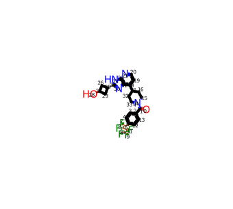 O=C(c1ccc(S(F)(F)(F)(F)F)cc1)N1CCC(c2ccnc3[nH]c([C@H]4C[C@H](O)C4)nc23)CC1